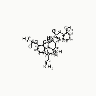 C=CCN1CC[C@]23c4c5ccc(OC(C)=O)c4O[C@H]2[C@H](NS(=O)(=O)Cc2ccccc2C)CC[C@@]3(O)[C@H]1C5